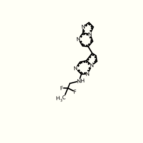 CC(F)(F)CNc1ncc2c(-c3cnc4nccn4c3)ccn2n1